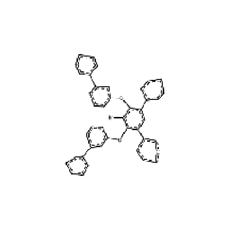 Brc1c(Oc2cccc(-c3ccccc3)c2)c(-c2ccccc2)cc(-c2ccccc2)c1Oc1cccc(-c2ccccc2)c1